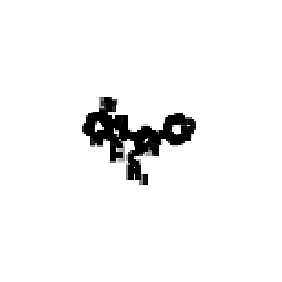 Cc1nn(C2CCOCC2)cc1-c1nc2c(Br)ccnc2[nH]1